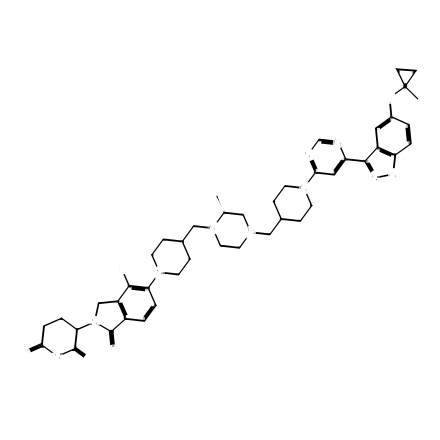 C[C@H]1CN(CC2CCN(c3cc(-c4n[nH]c5ccc(OC6(C)CC6)cc45)ncn3)CC2)CCN1CC1CCN(c2ccc3c(c2F)CN(C2CCC(=O)NC2=O)C3=O)CC1